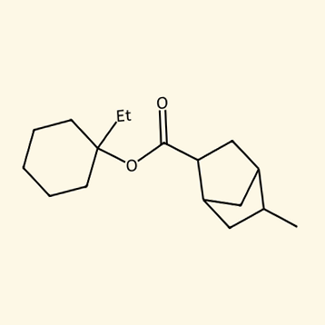 CCC1(OC(=O)C2CC3CC2CC3C)CCCCC1